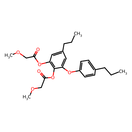 CCCc1ccc(Oc2cc(CCC)cc(OC(=O)COC)c2OC(=O)COC)cc1